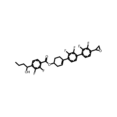 CCCC(O)c1ccc(C(=O)OC2CC=C(c3ccc(-c4ccc(C5CO5)c(F)c4F)c(F)c3F)CC2)c(F)c1F